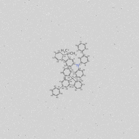 CC1(C)c2cc(N(c3cccc(-c4ccccc4)c3)c3cccc4c3-c3ccccc3C43c4ccccc4-c4cc(-c5ccccc5)ccc43)ccc2C2C=CC=CC21